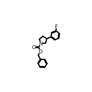 O=C(OCc1ccccc1)N1CCC(c2cccc(F)c2)C1